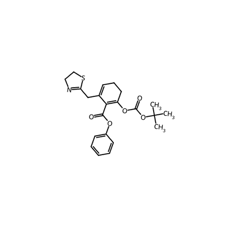 CC(C)(C)OC(=O)OC1=C(C(=O)Oc2ccccc2)C(CC2=NCCS2)=CCC1